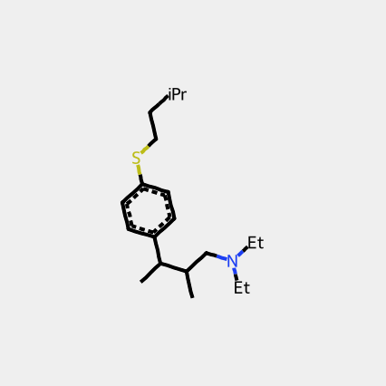 CCN(CC)CC(C)C(C)c1ccc(SCCC(C)C)cc1